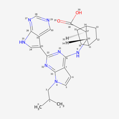 CC(C)Cn1ccc2c(N[C@H]3C4CCC(CC4)[C@@H]3C(=O)O)nc(-c3c[nH]c4ncncc34)nc21